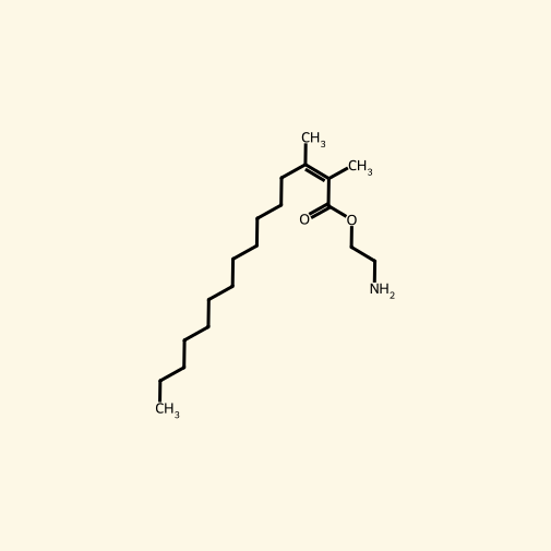 CCCCCCCCCCCCC(C)=C(C)C(=O)OCCN